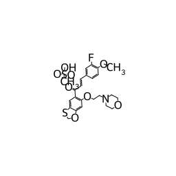 COc1ccc(C=CC(=O)c2cc3c(cc2OCCN2CCOCC2)OCS3)cc1F.CS(=O)(=O)O